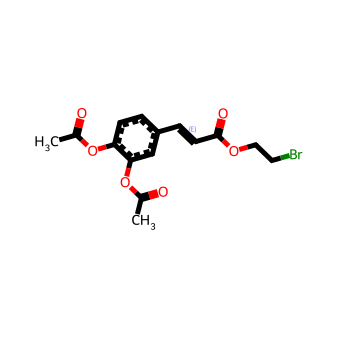 CC(=O)Oc1ccc(/C=C/C(=O)OCCBr)cc1OC(C)=O